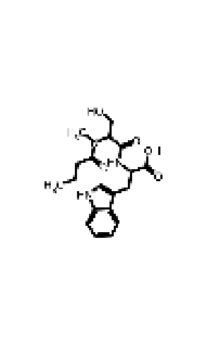 CCCC(=O)N(C)C(CO)C(=O)NC(Cc1c[nH]c2ccccc12)C(=O)O